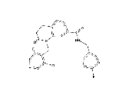 O=C(NCc1ccc(F)cc1)c1ccc2c(c1)N(Cc1c(F)cccc1Cl)C(=O)CC2